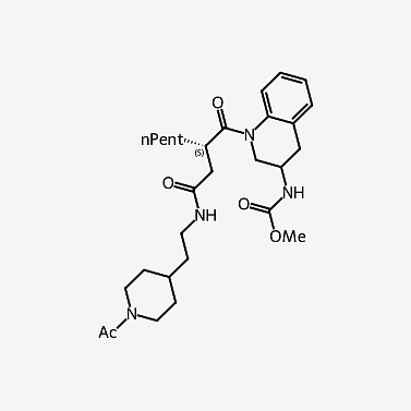 CCCCC[C@@H](CC(=O)NCCC1CCN(C(C)=O)CC1)C(=O)N1CC(NC(=O)OC)Cc2ccccc21